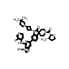 CC(C)n1cnc2cc(-c3ccc4c(c3)N([C@H]3C[C@@H](N5CCC(C)(C)C5)C3)C(=O)C43CCN(C(=O)[C@@H]4OCC[C@@H]4C)CC3)nc(Nc3ccncc3F)c21